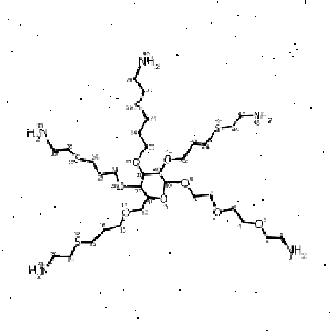 NCCOCCOCCOC1OC(COCCCSCCN)C(OCCCSCCN)C(OCCCSCCN)C1OCCCSCCN